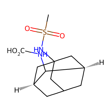 CS(=O)(=O)NC12CC3C[C@H](C1)C(NC(=O)O)[C@@H](C3)C2